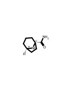 NC(=O)[C@]12C[CH]C[C@H](CC1)N2